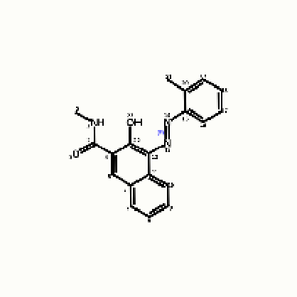 CNC(=O)c1cc2ccccc2c(/N=N/c2ccccc2C)c1O